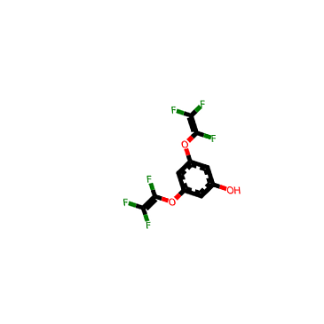 Oc1cc(OC(F)=C(F)F)cc(OC(F)=C(F)F)c1